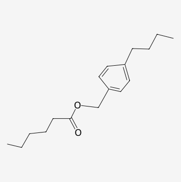 CCCCCC(=O)OCc1ccc(CCCC)cc1